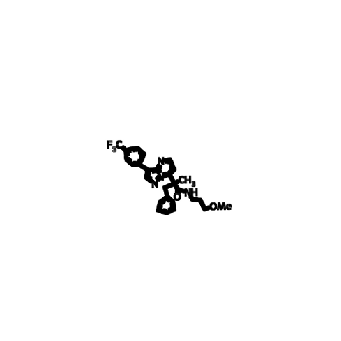 COCCCNC(=O)C(C)(Cc1ccccc1)c1ccnc2c(-c3ccc(C(F)(F)F)cc3)cnn12